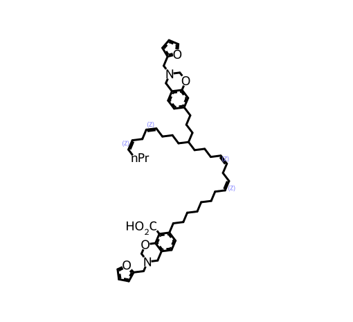 CCC/C=C\C/C=C\CCCC(CCC/C=C\C/C=C\CCCCCCCc1ccc2c(c1C(=O)O)OCN(Cc1ccco1)C2)CCCc1ccc2c(c1)OCN(Cc1ccco1)C2